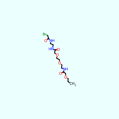 CCCOCC(=O)NCCOCCOCC(=O)NCCNC(=O)CBr